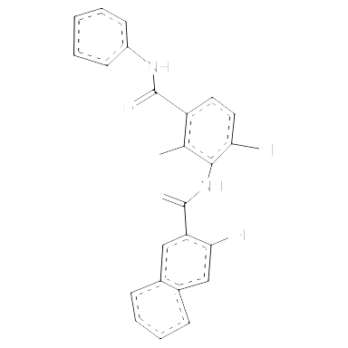 Cc1c(C(=O)Nc2ccccc2)ccc(Cl)c1NC(=O)c1cc2ccccc2cc1O